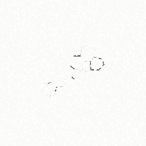 C=C(C(=O)NC/C(C=N)=N/N)[C@@H]1Cc2cccc3c2N1C(=O)CCC3